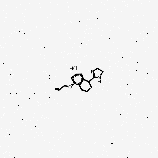 C=CCOc1cccc2c1CCCC2C1=NCCN1.Cl